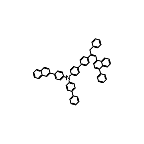 C(=C(\Cc1ccccc1)c1ccc(-c2ccc(N(c3ccc(-c4ccccc4)cc3)c3ccc(-c4ccc5ccccc5c4)cc3)cc2)cc1)/c1ccc(-c2ccccc2)c2ccccc12